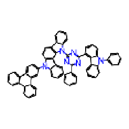 c1ccc(-c2nc(-c3cccc4c3c3ccccc3n4-c3ccccc3)nc(-n3c4ccccc4c4ccc5c(c6ccccc6n5-c5ccc6c7ccccc7c7ccccc7c6c5)c43)n2)cc1